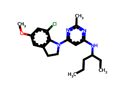 CCCC(CC)Nc1cc(N2CCc3cc(OC)cc(Cl)c32)nc(C)n1